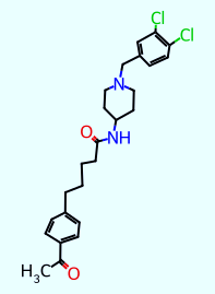 CC(=O)c1ccc(CCCCC(=O)NC2CCN(Cc3ccc(Cl)c(Cl)c3)CC2)cc1